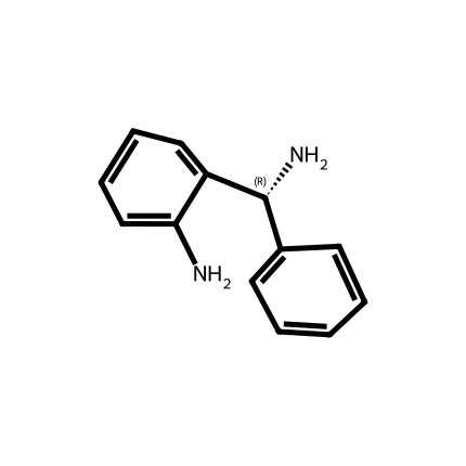 Nc1ccccc1[C@H](N)c1ccccc1